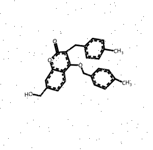 Cc1ccc(COc2c(Cc3ccc(C)cc3)c(=O)oc3cc(CO)ccc23)cc1